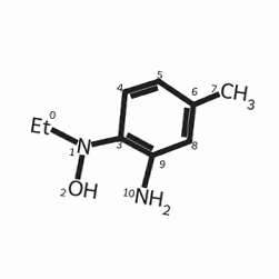 CCN(O)c1ccc(C)cc1N